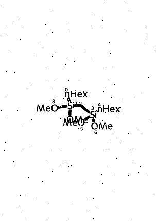 CCCCCC[Si](C[Si](CCCCCC)(OC)OC)(OC)OC